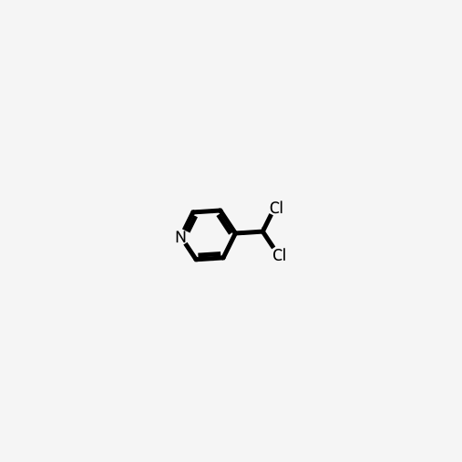 Cl[C](Cl)c1ccncc1